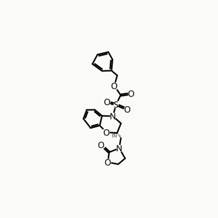 O=C1OCCN1C[C@H]1CN(S(=O)(=O)C(=O)OCc2ccccc2)c2ccccc2O1